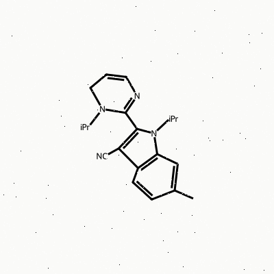 Cc1ccc2c(C#N)c(C3=NC=CCN3C(C)C)n(C(C)C)c2c1